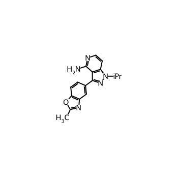 Cc1nc2cc(-c3nn(C(C)C)c4ccnc(N)c34)ccc2o1